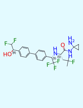 CC(C)(F)C[C@H](N[C@@H](c1ccc(-c2ccc([C@@H](O)C(F)F)cc2)cc1)C(F)(F)F)C(=O)NC1(N)CC1